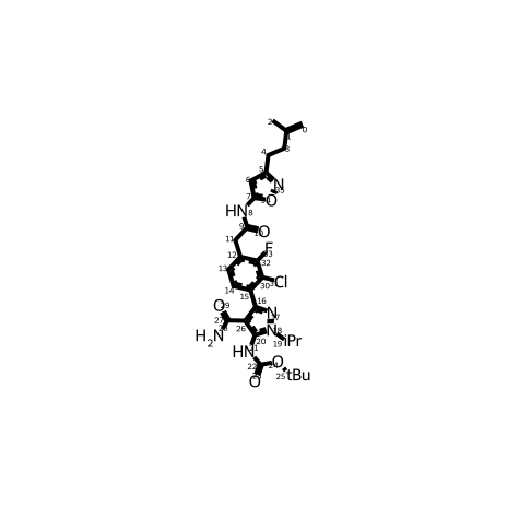 C=C(C)CCc1cc(NC(=O)Cc2ccc(-c3nn(C(C)C)c(NC(=O)OC(C)(C)C)c3C(N)=O)c(Cl)c2F)on1